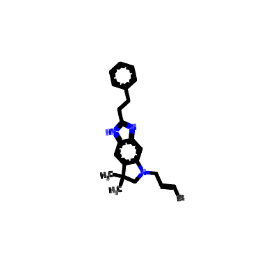 CC/C=C/CN1CC(C)(C)c2cc3[nH]c(CCc4ccccc4)nc3cc21